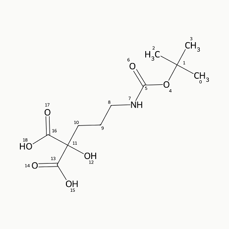 CC(C)(C)OC(=O)NCCCC(O)(C(=O)O)C(=O)O